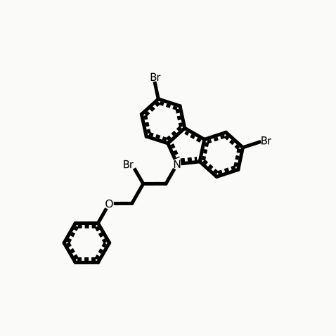 Brc1ccc2c(c1)c1cc(Br)ccc1n2CC(Br)COc1ccccc1